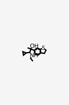 CCNC(C1CC1)C(C)(O)c1ccc2c(c1)SCC2